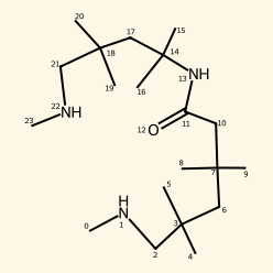 CNCC(C)(C)CC(C)(C)CC(=O)NC(C)(C)CC(C)(C)CNC